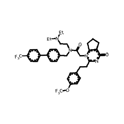 CCN(CC)CCN(Cc1ccc(-c2ccc(C(F)(F)F)cc2)cc1)C(=O)Cn1c(CCc2ccc(OC(F)(F)F)cc2)nc(=O)c2c1CCC2